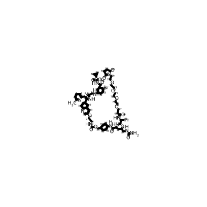 Cc1cccc(-c2nc(CNc3ccc(Br)c(C(=O)NS(=O)(=O)C4CC4)c3)[nH]c2-c2ccc3ncc(OCCNC(=O)OCc4ccc(NC(=O)C(CCCNC(N)=O)NC(=O)C(NC(=O)CCOCCOCCOCCOCCN5C(=O)C=CC5=O)C(C)C)cc4)cc3c2)n1